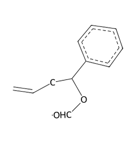 C=CCC(O[C]=O)c1ccccc1